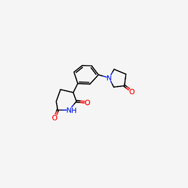 O=C1CCN(c2cccc(C3CCC(=O)NC3=O)c2)C1